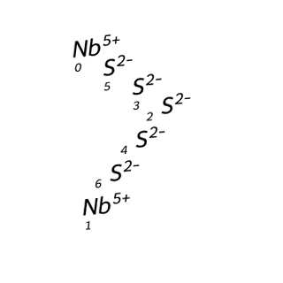 [Nb+5].[Nb+5].[S-2].[S-2].[S-2].[S-2].[S-2]